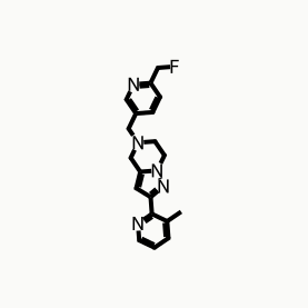 Cc1cccnc1-c1cc2n(n1)CCN(Cc1ccc(CF)nc1)C2